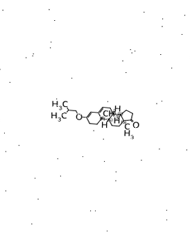 CC(C)COC1=CC2=CC[C@@H]3[C@H](CC[C@]4(C)C(=O)CC[C@@H]34)[C@@]2(C)CC1